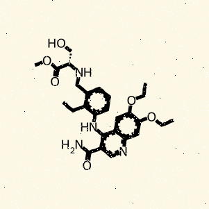 CCOc1cc2ncc(C(N)=O)c(Nc3cccc(CN[C@@H](CO)C(=O)OC)c3CC)c2cc1OCC